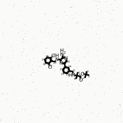 CC(C)(C)OC(=O)C(C)(C)NCc1cccc(-c2cnc(N)c(NCc3c(Cl)cccc3Cl)n2)c1